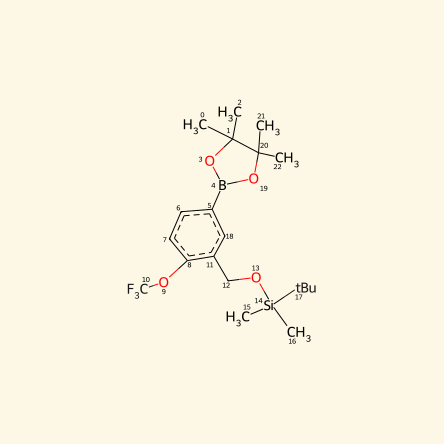 CC1(C)OB(c2ccc(OC(F)(F)F)c(CO[Si](C)(C)C(C)(C)C)c2)OC1(C)C